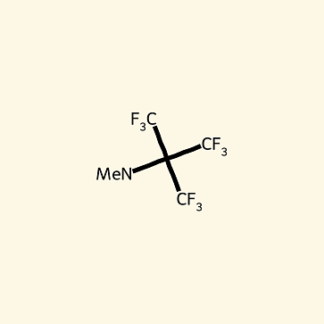 CNC(C(F)(F)F)(C(F)(F)F)C(F)(F)F